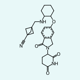 N#CC12CC(CNC3CCCCC3Oc3ccc4c(c3)CN(C3CCC(=O)NC3=O)C4=O)(C1)C2